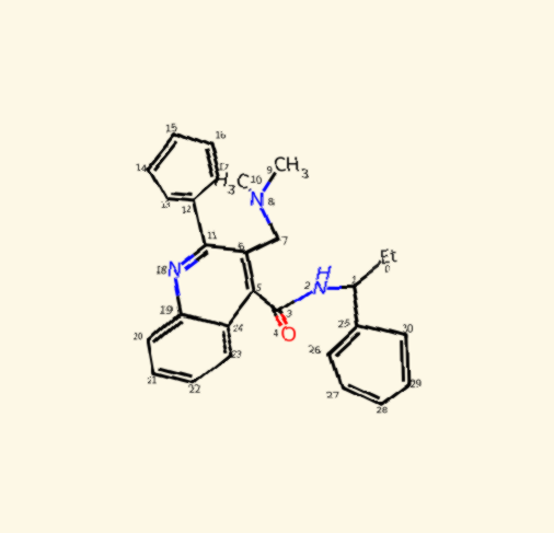 CCC(NC(=O)c1c(CN(C)C)c(-c2ccccc2)nc2ccccc12)c1ccccc1